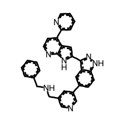 c1ccc(CNCc2cncc(-c3ccc4[nH]nc(-c5cc6c(-c7ccccn7)ccnc6[nH]5)c4c3)c2)cc1